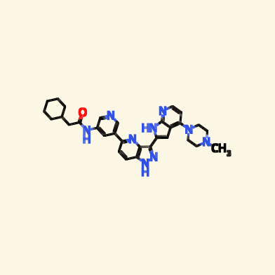 CN1CCN(c2ccnc3[nH]c(-c4n[nH]c5ccc(-c6cncc(NC(=O)CC7CCCCC7)c6)nc45)cc23)CC1